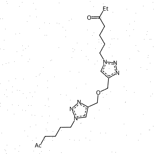 CCC(=O)CCCCn1cc(COCc2cn(CCCCC(C)=O)nn2)nn1